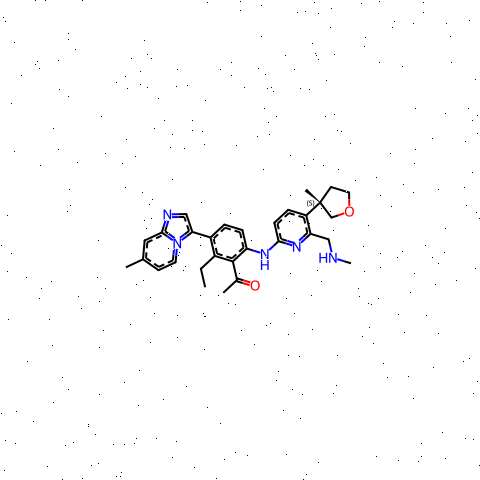 CCc1c(-c2cnc3cc(C)ccn23)ccc(Nc2ccc([C@]3(C)CCOC3)c(CNC)n2)c1C(C)=O